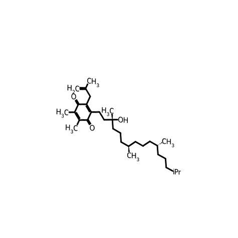 C=C(C)CC1=C(CC[C@](C)(O)CCC[C@H](C)CCC[C@H](C)CCCC(C)C)C(=O)C(C)=C(C)C1=O